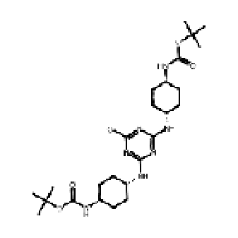 CC(C)(C)OC(=O)N[C@H]1CC[C@H](Nc2nc(Cl)nc(N[C@H]3CC[C@H](NC(=O)OC(C)(C)C)CC3)n2)CC1